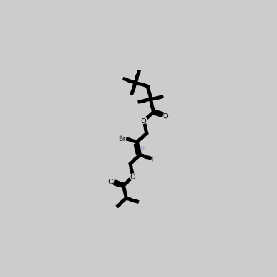 CC(C)C(=O)OC/C(I)=C(\Br)COC(=O)C(C)(C)CC(C)(C)C